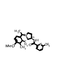 COC1=CC=C(C(C)N2CC[C@@H](NC(=O)c3cccc(C)n3)C2)C(C)C1C